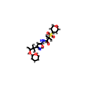 CC(O[C@H]1CCCCO1)C(C)(C)c1cc(NC(=O)C(C)(C)S(=O)(=O)C2CCOCC2)on1